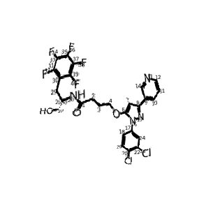 O=C(CCCOc1cc(-c2cccnc2)nn1-c1ccc(Cl)c(Cl)c1)N[C@H](CO)Cc1c(F)c(F)c(F)c(F)c1F